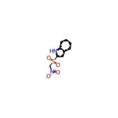 O=[N+]([O-])CS(=O)(=O)c1cc2ccccc2[nH]1